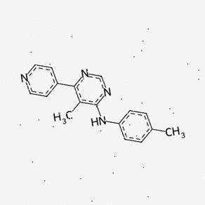 Cc1ccc(Nc2ncnc(-c3ccncc3)c2C)cc1